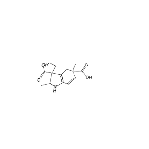 CCC1(C(=O)O)C2=C(C=CC(C)(C(=O)O)C2)NC1C